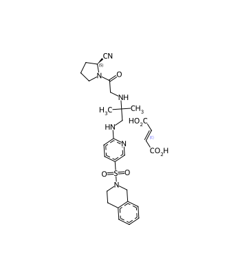 CC(C)(CNc1ccc(S(=O)(=O)N2CCc3ccccc3C2)cn1)NCC(=O)N1CCC[C@H]1C#N.O=C(O)/C=C/C(=O)O